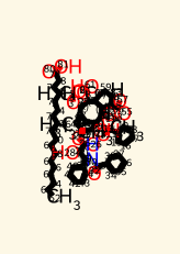 CC(=O)O[C@H]1C(=O)[C@@]2(C)[C@H]([C@H](OC(=O)c3ccccc3)[C@]3(O)C[C@H](OC(=O)[C@H](O)[C@@H](NC(=O)c4ccccc4)c4ccccc4)C(C)=C1C3(C)C)[C@]1(OC(C)=O)CO[C@@H]1C[C@@H]2O.CCCCCCCCCCCCCCCCCC(=O)O